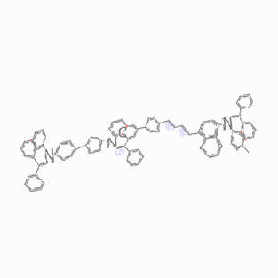 Cc1ccc(N(C=C(c2ccccc2)c2ccccc2)c2ccc(/C=C/C=C/c3ccc(-c4cccc(/C(=C\N(c5ccccc5)c5ccc(-c6ccc(N(C=C(c7ccccc7)c7ccccc7)c7ccccc7)cc6)cc5)c5ccccc5)c4)cc3)c3ccccc23)cc1